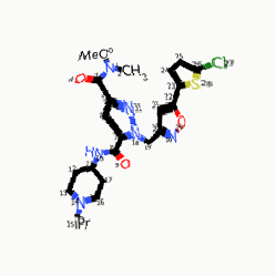 CON(C)C(=O)c1cc(C(=O)NC2CCN(C(C)C)CC2)n(Cc2cc(-c3ccc(Cl)s3)on2)n1